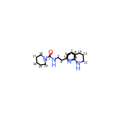 O=C(NCCc1ccc2c(n1)NCCC2)N1CCCCC1